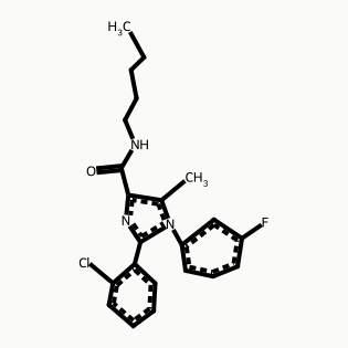 CCCCCNC(=O)c1nc(-c2ccccc2Cl)n(-c2cccc(F)c2)c1C